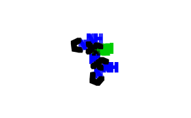 CCC(C)(N=NC(C)(CC)C(=N)N1CCCC1)C(=N)N1CCCC1.Cl.Cl